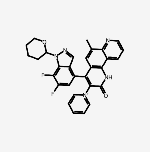 Cc1cc2c(-c3cc(F)c(F)c4c3cnn4C3CCCCO3)c(-[n+]3ccccc3)c(=O)[nH]c2c2cccnc12